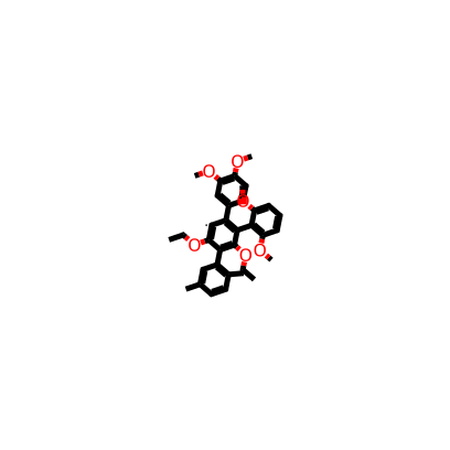 CCOc1[c]c(-c2ccc(OC)c(OC)c2)c(-c2c(OC)cccc2OC)c(OCC)c1-c1cc(C)ccc1C